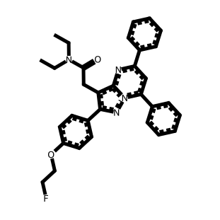 CCN(CC)C(=O)Cc1c(-c2ccc(OCCF)cc2)nn2c(-c3ccccc3)cc(-c3ccccc3)nc12